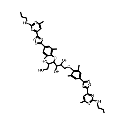 CCCNc1nc(C)cc(-c2nc(-c3cc(C)c(OCC(O)C(O)C(Oc4c(C)cc(-c5noc(-c6cc(C)nc(NCCC)n6)n5)cc4C)C(O)CO)c(C)c3)no2)n1